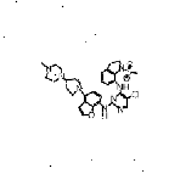 CN1CCN(C2CCN(c3ccc(Nc4ncc(Cl)c(Nc5cccc6c5N(S(C)(=O)=O)CC6)n4)c4occc34)CC2)CC1